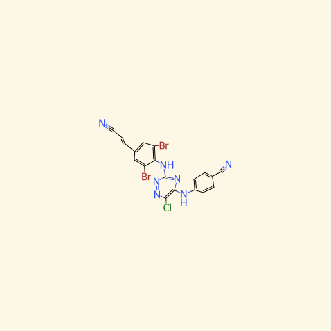 N#C/C=C/c1cc(Br)c(Nc2nnc(Cl)c(Nc3ccc(C#N)cc3)n2)c(Br)c1